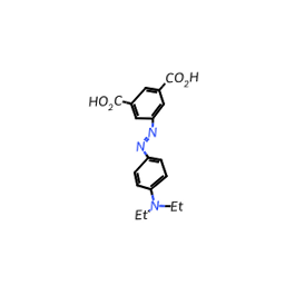 CCN(CC)c1ccc(N=Nc2cc(C(=O)O)cc(C(=O)O)c2)cc1